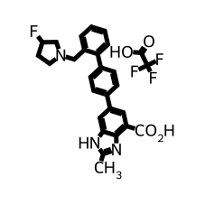 Cc1nc2c(C(=O)O)cc(-c3ccc(-c4ccccc4CN4CCC(F)C4)cc3)cc2[nH]1.O=C(O)C(F)(F)F